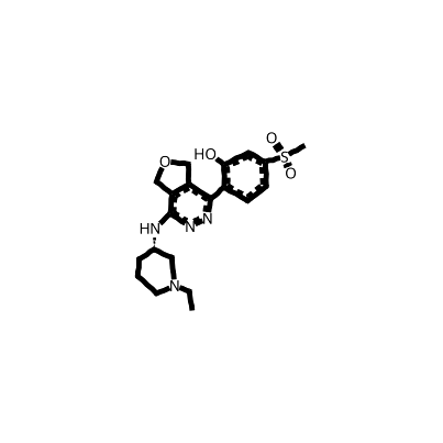 CCN1CCC[C@H](Nc2nnc(-c3ccc(S(C)(=O)=O)cc3O)c3c2COC3)C1